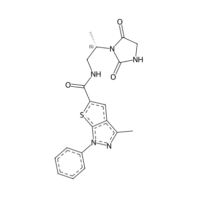 Cc1nn(-c2ccccc2)c2sc(C(=O)NC[C@H](C)N3C(=O)CNC3=O)cc12